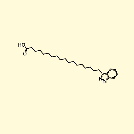 O=C(O)CCCCCCCCCCCCCCCCCn1nnc2ccccc21